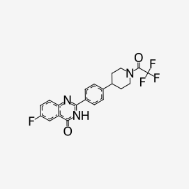 O=C(N1CCC(c2ccc(-c3nc4ccc(F)cc4c(=O)[nH]3)cc2)CC1)C(F)(F)F